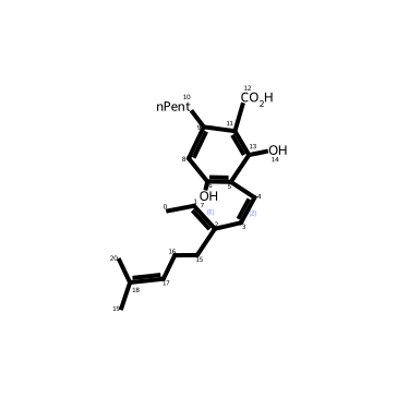 C/C=C(/C=C\c1c(O)cc(CCCCC)c(C(=O)O)c1O)CCC=C(C)C